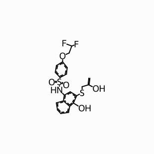 C=C(O)CSc1cc(NS(=O)(=O)c2ccc(OCC(F)F)cc2)c2ccccc2c1O